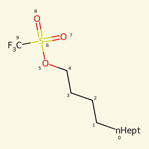 CCCCCCCCCCCOS(=O)(=O)C(F)(F)F